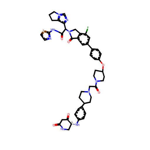 O=C1CC(=O)[C@H](Nc2ccc(C3CCN(CC(=O)N4CCC(Oc5ccc(-c6cc(F)c7c(c6)C(=O)N(C(C(=O)Nc6nccs6)c6ncn8c6CCC8)C7)cc5)CC4)CC3)cc2)CN1